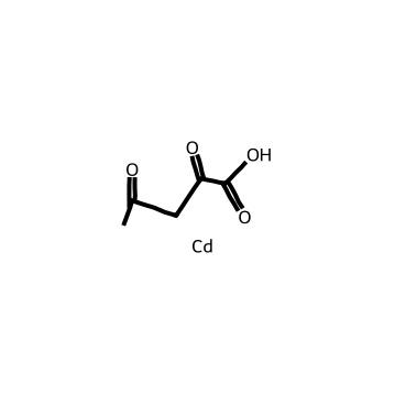 CC(=O)CC(=O)C(=O)O.[Cd]